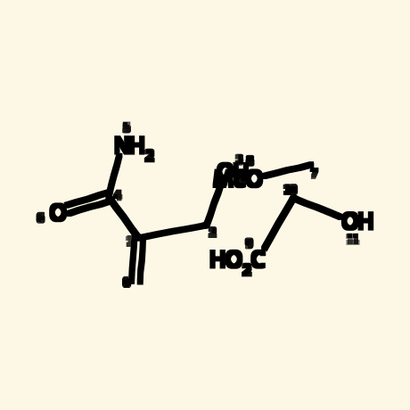 C=C(CO)C(N)=O.COC.O=C(O)CO